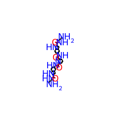 NCCNC(=O)c1cc2cc(NC(=O)c3cccc(C(=O)Nc4ccc5[nH]c(C(=O)NCCN)cc5c4)n3)ccc2[nH]1